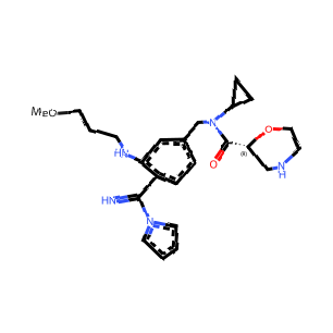 COCCCNc1cc(CN(C(=O)[C@H]2CNCCO2)C2CC2)ccc1C(=N)n1cccc1